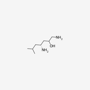 CC(C)C[C@@H](N)CC(O)CN